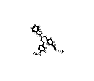 COc1ccc(CCN(Cc2ccc(C#CC(=O)O)cc2)c2nc3c(F)cccc3s2)cc1F